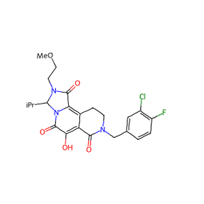 COCCN1C(=O)c2c3c(c(O)c(=O)n2C1C(C)C)C(=O)N(Cc1ccc(F)c(Cl)c1)CC3